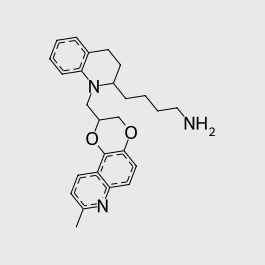 Cc1ccc2c3c(ccc2n1)OCC(CN1c2ccccc2CCC1CCCCN)O3